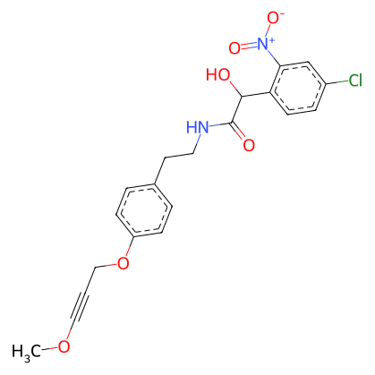 COC#CCOc1ccc(CCNC(=O)C(O)c2ccc(Cl)cc2[N+](=O)[O-])cc1